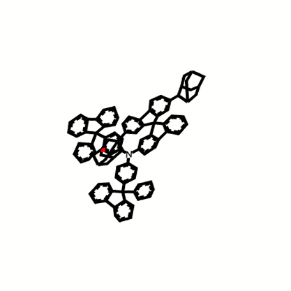 c1ccc(C2(c3ccc(N(c4ccc(C5(c6ccccc6)c6ccccc6-c6ccccc65)cc4)c4ccc5c(c4)C4(c6ccccc6-5)c5cc(C6C7CC8CC(C7)CC6C8)ccc5-c5ccc(C67CC8CC(CC(C8)C6)C7)cc54)cc3)c3ccccc3-c3ccccc32)cc1